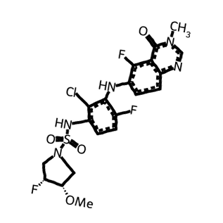 CO[C@H]1CN(S(=O)(=O)Nc2ccc(F)c(Nc3ccc4ncn(C)c(=O)c4c3F)c2Cl)C[C@H]1F